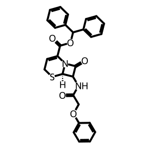 O=C(COc1ccccc1)NC1C(=O)N2C(C(=O)OC(c3ccccc3)c3ccccc3)=CCS[C@H]12